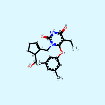 CCc1c(Oc2cc(C)cc(C)c2)n(CC2=CCCC2CO)c(=O)[nH]c1=O